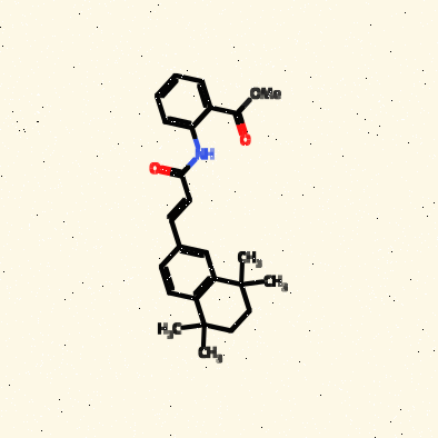 COC(=O)c1ccccc1NC(=O)C=Cc1ccc2c(c1)C(C)(C)CCC2(C)C